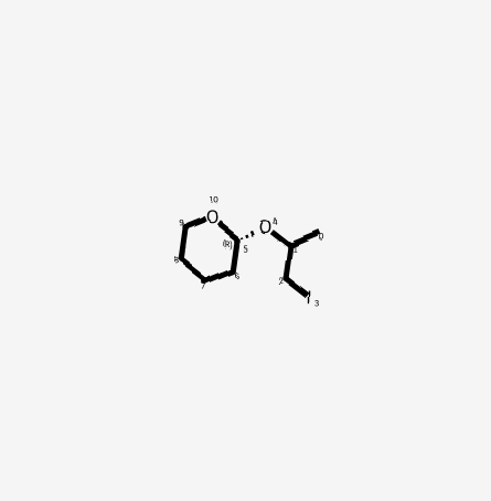 CC(CI)O[C@@H]1CCCCO1